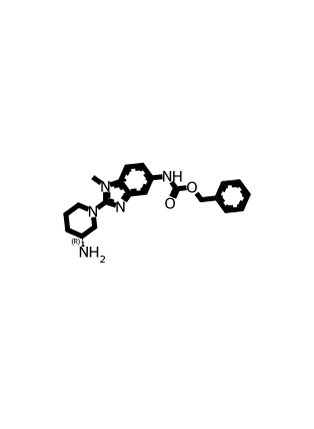 Cn1c(N2CCC[C@@H](N)C2)nc2cc(NC(=O)OCc3ccccc3)ccc21